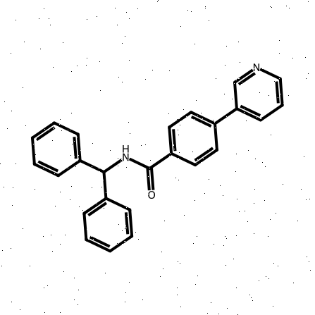 O=C(NC(c1ccccc1)c1ccccc1)c1ccc(-c2cccnc2)cc1